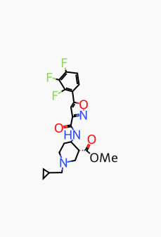 COC(=O)[C@@H]1CN(CC2CC2)CC[C@H]1NC(=O)c1cc(-c2ccc(F)c(F)c2F)on1